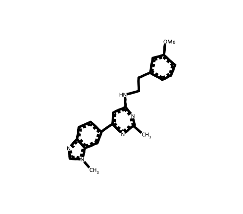 COc1cccc(CCNc2cc(-c3ccc4ncn(C)c4c3)nc(C)n2)c1